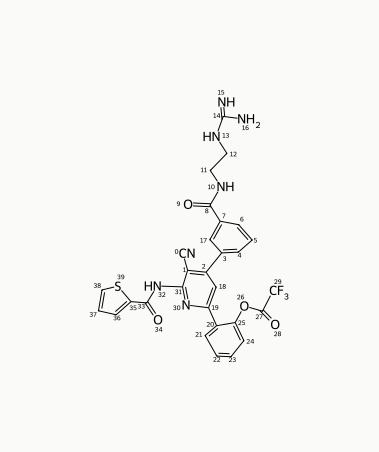 N#Cc1c(-c2cccc(C(=O)NCCNC(=N)N)c2)cc(-c2ccccc2OC(=O)C(F)(F)F)nc1NC(=O)c1cccs1